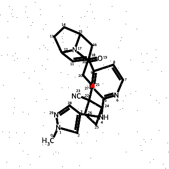 Cn1cc(Nc2nccc(C3=CC4CCC(C3)N4C(=O)CCC3(C#N)CCC3)n2)cn1